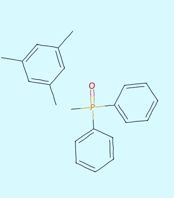 CP(=O)(c1ccccc1)c1ccccc1.Cc1cc(C)cc(C)c1